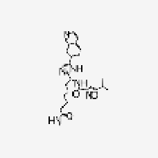 CNC(=O)CCCCC[C@H](NC(=O)c1cc(C(C)C)on1)c1ncc(-c2ccc3ccncc3c2)[nH]1